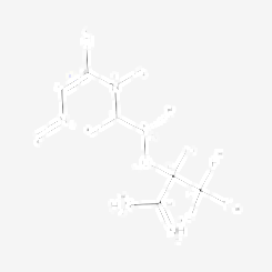 C=N/C=C(/Cl)N(C)C(C)[C@H](C)OC(C)(C(=N)N)C(F)(F)F